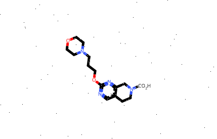 O=C(O)N1CCc2cnc(OCCCN3CCOCC3)nc2C1